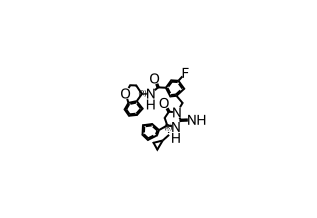 N=C1N[C@@](CC2CC2)(c2ccccc2)CC(=O)N1Cc1cc(F)cc(C(=O)N[C@@H]2CCOc3ccccc32)c1